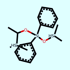 CC(O[Si](O[SiH](C)C)(c1ccccc1)c1ccccc1)[SiH](C)C